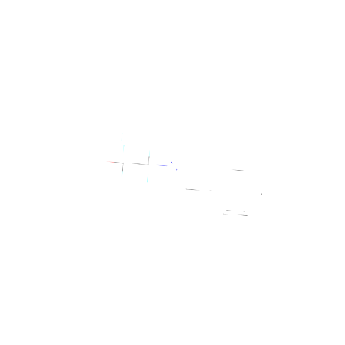 OC(F)(F)C(F)(F)N(F)Cc1ccccc1